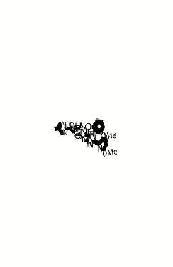 COc1cccc(-c2nnc(NS(=O)(=O)CC(O)c3ncc(C)cn3)n2-c2c(OC)cccc2OC)n1